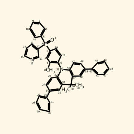 Cc1cc(P(=O)(c2ccccc2)c2cccnc2)ccc1N1c2ccc(-c3ccccc3)cc2C(C)(C)c2cc(-c3ccccc3)ccc21